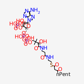 CCCCCC(=O)CC(=O)SCCNC(=O)CCNC(=O)[C@H](O)C(C)(C)COP(=O)(O)OP(=O)(O)OC[C@H]1O[C@@H](n2cnc3c(N)ncnc32)[C@H](O)[C@@H]1OP(=O)(O)O